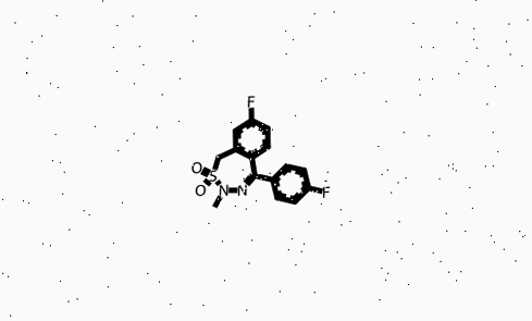 CN1N=C(c2ccc(F)cc2)c2ccc(F)cc2CS1(=O)=O